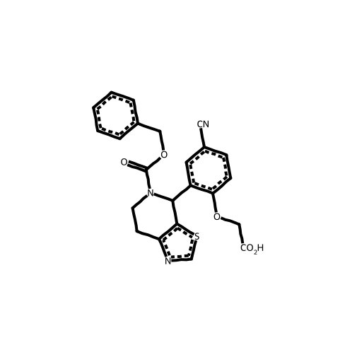 N#Cc1ccc(OCC(=O)O)c(C2c3scnc3CCN2C(=O)OCc2ccccc2)c1